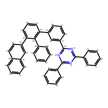 c1ccc(-c2nc(-c3ccccc3)nc(-c3cccc(-c4cccc(-c5ccc6ccccc6c5)c4-c4ccccc4)c3)n2)cc1